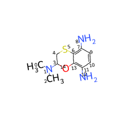 CN(C)C1CSc2c(N)ccc(N)c2O1